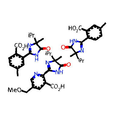 COCc1cnc(C2=NC(C)(C(C)C)C(=O)N2)c(C(=O)O)c1.Cc1ccc(C(=O)O)c(C2=NC(C)(C(C)C)C(=O)N2)c1.Cc1ccc(C2=NC(C)(C(C)C)C(=O)N2)c(C(=O)O)c1